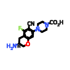 N#Cc1c(N2CCN(C(=O)O)CC2)cc2c(c1F)C[C@H](N)CO2